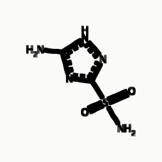 Nc1nc(S(N)(=O)=O)n[nH]1